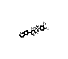 COc1ccc(S(=O)(=O)Nc2cc(-c3ccc4ncccc4c3)cnc2Cl)cc1OC